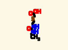 CCNC(=O)NCCSCC(=O)O